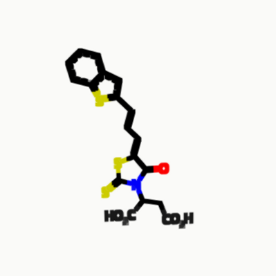 O=C(O)CC(C(=O)O)N1C(=O)C(=CC=Cc2cc3ccccc3s2)SC1=S